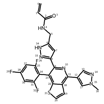 C=CC(=O)NCc1cc(-c2nc(-c3cnn(C)c3)c3ccsc3c2-c2c(F)cc(F)cc2F)n[nH]1